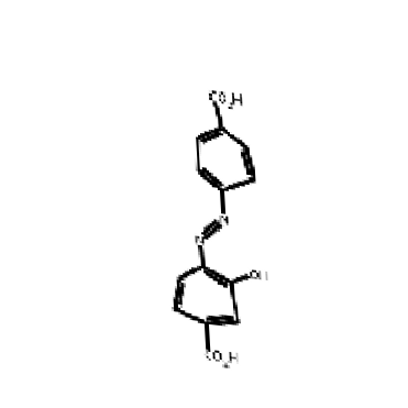 O=C(O)c1ccc(N=Nc2ccc(C(=O)O)cc2O)cc1